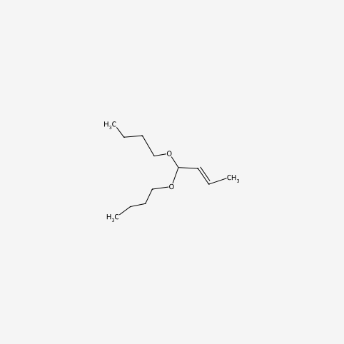 CC=CC(OCCCC)OCCCC